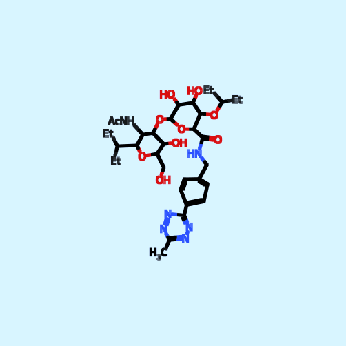 CCC(CC)OC1C(C(=O)NCc2ccc(-c3nnc(C)nn3)cc2)OC(OC2C(O)C(CO)OC(C(CC)CC)C2NC(C)=O)C(O)C1O